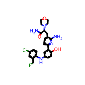 NC(=O)C(Cc1ccc(-c2cc(Nc3ccc(Cl)cc3CF)ccc2O)nc1N)N1CCOCC1